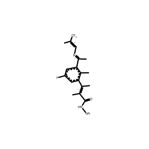 CCCNC(=O)/C(C)=C(\C)c1cc(F)cc(/C(C)=N/C=C(\C)C(F)(F)F)c1C